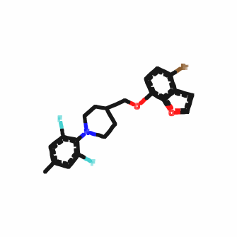 Cc1cc(F)c(N2CCC(COc3ccc(Br)c4ccoc34)CC2)c(F)c1